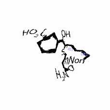 CCCCCCCCC/C=C\C=C\[C@@H](SCCC(N)=O)[C@@H](O)c1cccc(C(=O)O)c1